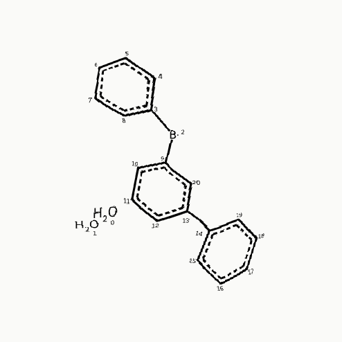 O.O.[B](c1ccccc1)c1cccc(-c2ccccc2)c1